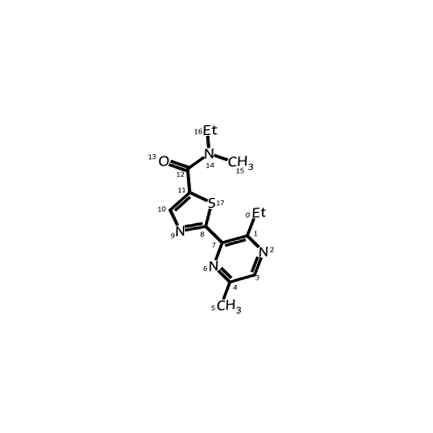 CCc1ncc(C)nc1-c1ncc(C(=O)N(C)CC)s1